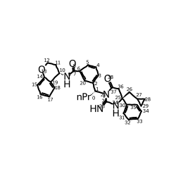 CCC[C@H](c1cccc(C(=O)N[C@H]2CCOc3ccccc32)c1)N1C(=N)N[C@@](CC2CC2)(c2ccccc2)CC1=O